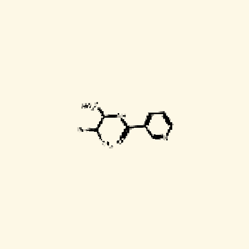 CCC(C)C(C)C(NC(=O)c1cccnc1)C(=O)O